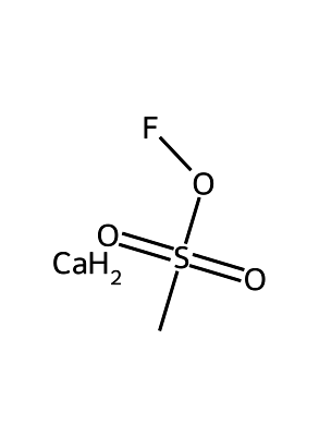 CS(=O)(=O)OF.[CaH2]